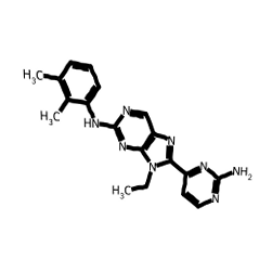 CCn1c(-c2ccnc(N)n2)nc2cnc(Nc3cccc(C)c3C)nc21